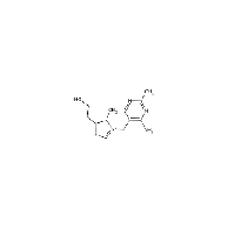 Cc1ncc(C[N+]2=CSC(CCO)C2C)c(N)n1